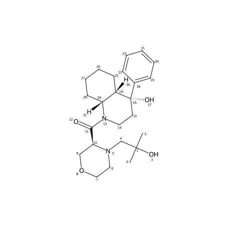 CC(C)(O)CN1CCOC[C@H]1C(=O)N1CC[C@](O)(c2ccccc2)[C@H]2CCCC[C@H]21